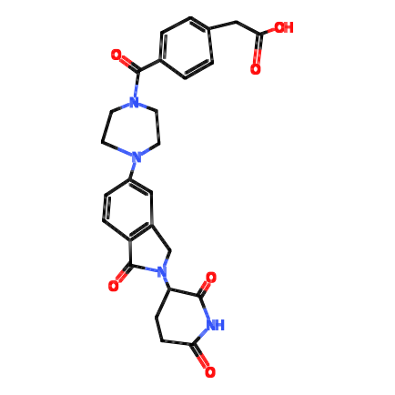 O=C(O)Cc1ccc(C(=O)N2CCN(c3ccc4c(c3)CN(C3CCC(=O)NC3=O)C4=O)CC2)cc1